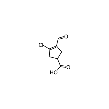 O=CC1=C(Cl)CC(C(=O)O)C1